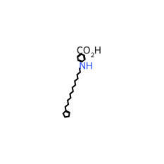 O=C(O)c1ccc(NCCCCCCCCCCCCCC2=CCCC2)cc1